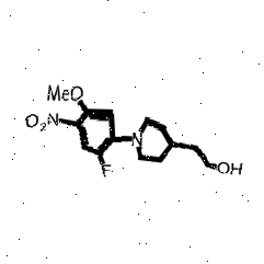 COc1cc(N2CCC(CCO)CC2)c(F)cc1[N+](=O)[O-]